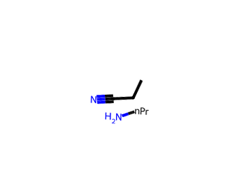 CCC#N.CCCN